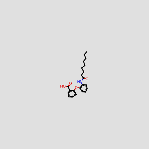 CCCCCCCCC(=O)Nc1ccccc1Oc1ccccc1C(=O)O